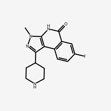 Cn1nc(C2CCNCC2)c2c3ccc(F)cc3c(=O)[nH]c21